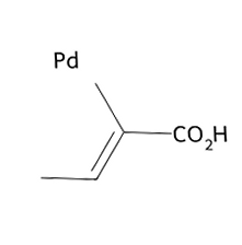 CC=C(C)C(=O)O.[Pd]